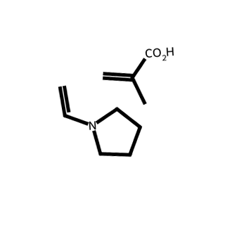 C=C(C)C(=O)O.C=CN1CCCC1